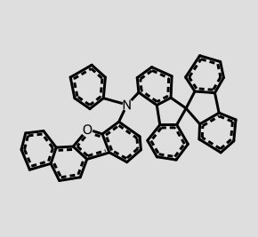 c1ccc(N(c2cccc3c2-c2ccccc2C32c3ccccc3-c3ccccc32)c2cccc3c2oc2c4ccccc4ccc32)cc1